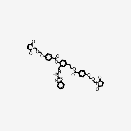 O=C(OCCc1ccc(OC(=O)c2ccc(OCOCN3C(=O)C=CC3=O)cc2)c(/C=N/Nc2nc3ccccc3s2)c1)c1ccc(OCOCN2C(=O)C=CC2=O)cc1